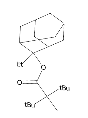 CCC1(OC(=O)C(C)(C(C)(C)C)C(C)(C)C)C2CC3CC(C2)CC1C3